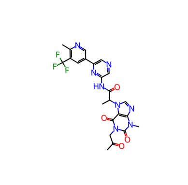 CC(=O)Cn1c(=O)c2c(ncn2C(C)C(=O)Nc2cncc(-c3cnc(C)c(C(F)(F)F)c3)n2)n(C)c1=O